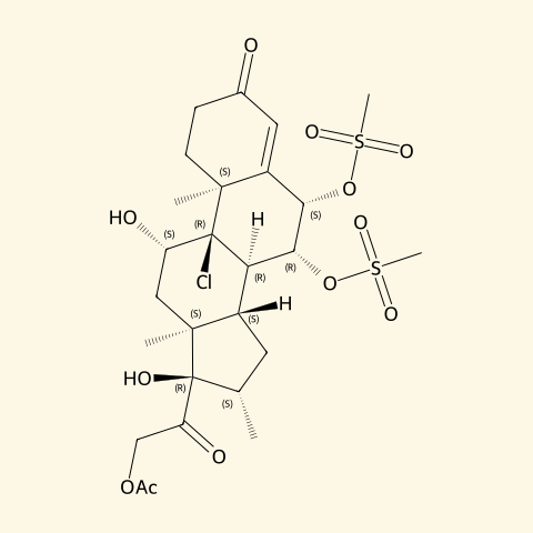 CC(=O)OCC(=O)[C@@]1(O)[C@@H](C)C[C@H]2[C@@H]3[C@@H](OS(C)(=O)=O)[C@@H](OS(C)(=O)=O)C4=CC(=O)CC[C@]4(C)[C@@]3(Cl)[C@@H](O)C[C@@]21C